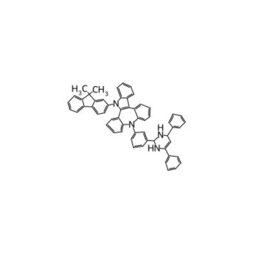 CC1(C)c2ccccc2-c2ccc(-n3c4c(c5ccccc53)-c3ccccc3N(c3cccc(C5NC(c6ccccc6)=CC(c6ccccc6)N5)c3)c3ccccc3-4)cc21